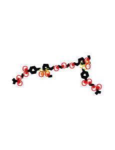 C=C(C)C(=O)OCCOC(=O)c1ccc(CSC2(P(C)(=O)OCC)SC3(CCOCCOCCOCCC45C=CC(C4)C(SCc4ccc(C(=O)OCCOC(=O)C(=C)C)cc4)(P(C)(=O)OCC)S5)C=CC2C3)cc1